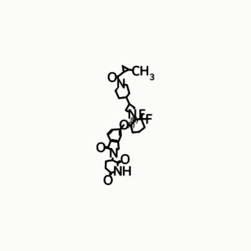 CC1CC1C(=O)N1CCC(C2CN([C@@H]3[C@H](Oc4ccc5c(c4)CN(C4CCC(=O)NC4=O)C5=O)CCCC3(F)F)C2)CC1